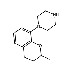 CC1CCc2cccc(N3CCNCC3)c2O1